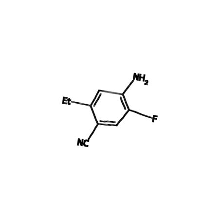 CCc1cc(N)c(F)cc1C#N